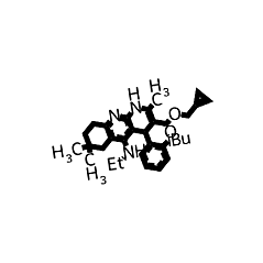 CCNc1c2c(nc3c1C(c1ccccc1C(C)CC)C(C(=O)OCC1=CC1)=C(C)N3)CCC(C)(C)C2